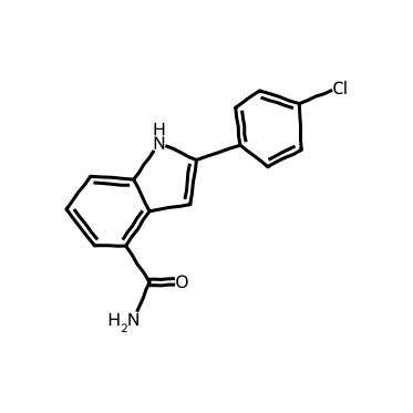 NC(=O)c1cccc2[nH]c(-c3ccc(Cl)cc3)cc12